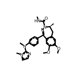 CNC(=O)N1N=C(c2ccc(N(C)c3nccn3C)cc2)c2cc(OC)c(OC)cc2C[C@@H]1C